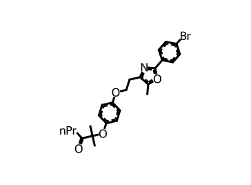 CCCC(=O)C(C)(C)Oc1ccc(OCCc2nc(-c3ccc(Br)cc3)oc2C)cc1